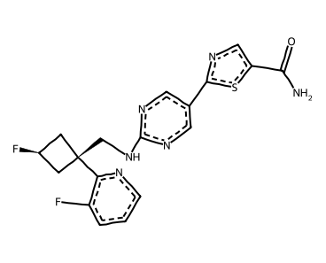 NC(=O)c1cnc(-c2cnc(NC[C@]3(c4ncccc4F)C[C@H](F)C3)nc2)s1